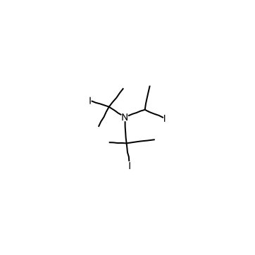 CC(I)N(C(C)(C)I)C(C)(C)I